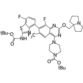 CC(C)(C)OC(=O)Nc1nc2c(-c3c(C(F)(F)F)cc4c(N5CCN(C(=O)OC(C)(C)C)CC5)nc(OCC56CCCN5CCC6)nc4c3F)ccc(F)c2s1